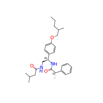 CCCC(C)COc1ccc([C@H](CNC(=O)CC(C)C)NC(=O)[C@@H](C)c2ccccc2)cc1